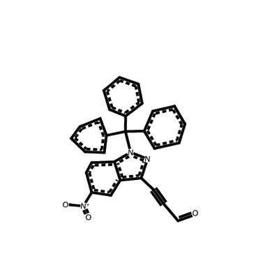 O=CC#Cc1nn(C(c2ccccc2)(c2ccccc2)c2ccccc2)c2ccc([N+](=O)[O-])cc12